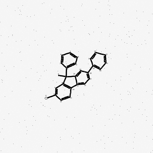 CC1(c2ccccc2)c2cc(Cl)ccc2-c2ccc(-c3ccccc3)cc21